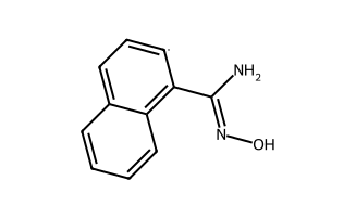 NC(=NO)c1[c]ccc2ccccc12